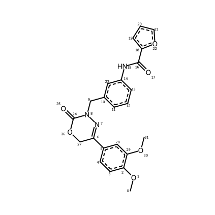 COc1ccc(C2=NN(Cc3cccc(NC(=O)c4ccco4)c3)C(=O)OC2)cc1OC